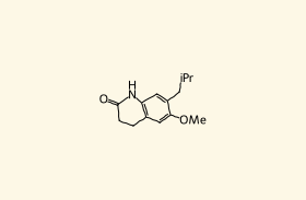 COc1cc2c(cc1CC(C)C)NC(=O)CC2